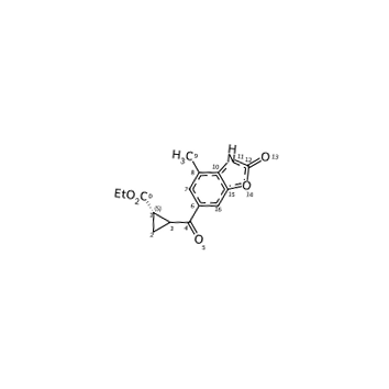 CCOC(=O)[C@H]1CC1C(=O)c1cc(C)c2[nH]c(=O)oc2c1